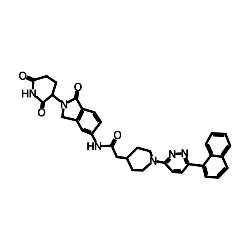 O=C1CCC(N2Cc3cc(NC(=O)CC4CCN(c5ccc(-c6cccc7ccccc67)nn5)CC4)ccc3C2=O)C(=O)N1